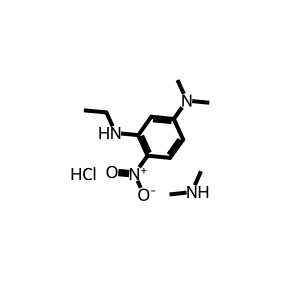 CCNc1cc(N(C)C)ccc1[N+](=O)[O-].CNC.Cl